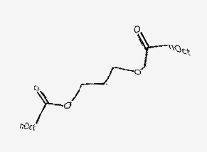 CCCCCCCCC(=O)OC[CH]COC(=O)CCCCCCCC